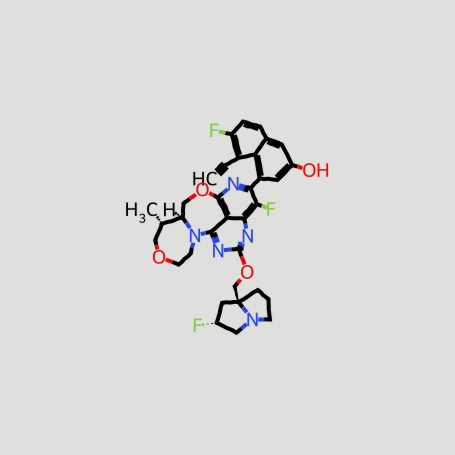 C#Cc1c(F)ccc2cc(O)cc(-c3nc4c5c(nc(OC[C@@]67CCCN6C[C@H](F)C7)nc5c3F)N3CCOC[C@H](C)[C@H]3CO4)c12